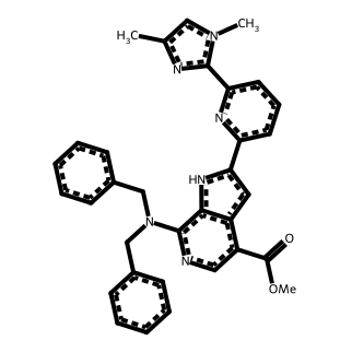 COC(=O)c1cnc(N(Cc2ccccc2)Cc2ccccc2)c2[nH]c(-c3cccc(-c4nc(C)cn4C)n3)cc12